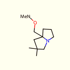 CNOCC12CCCN1CC(C)(C)C2